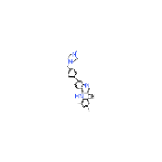 Cc1ccc(Nc2c(C#N)cnc3cc(-c4ccc(CN5CCN(C)CC5)cc4)ccc23)c(C)c1